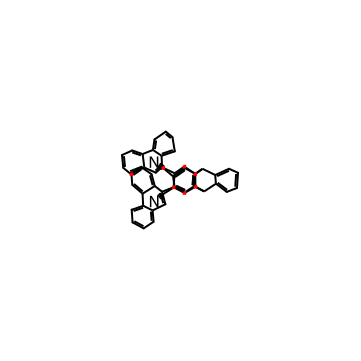 N#Cc1cc2c(cc1-c1cc3ccccc3c3ccccc13)C1c3ccccc3C2c2cc(-c3cc4ccccc4c4ccccc34)c(C#N)cc21